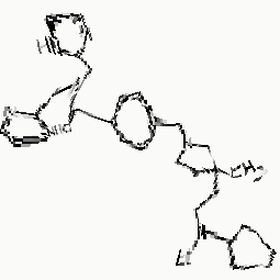 CCN(CCC1(C)CCN(Cc2ccc(C(=O)N(Cc3ncc[nH]3)Cc3ncc[nH]3)cc2)C1)C1CCCCC1